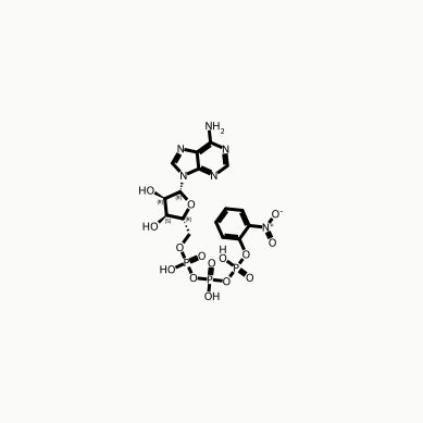 Nc1ncnc2c1ncn2[C@@H]1O[C@H](COP(=O)(O)OP(=O)(O)OP(=O)(O)Oc2ccccc2[N+](=O)[O-])[C@@H](O)[C@H]1O